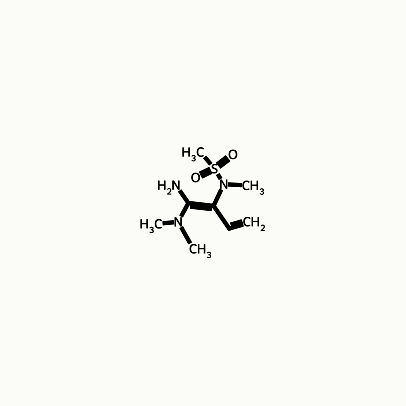 C=C/C(=C(/N)N(C)C)N(C)S(C)(=O)=O